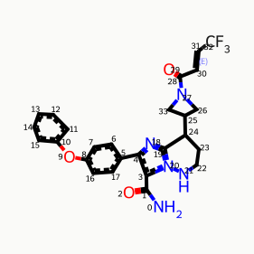 NC(=O)c1c(-c2ccc(Oc3ccccc3)cc2)nc2n1NCCC2C1CN(C(=O)/C=C/C(F)(F)F)C1